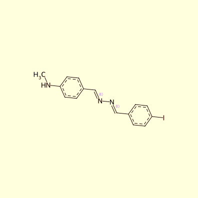 CNc1ccc(/C=N/N=C/c2ccc(I)cc2)cc1